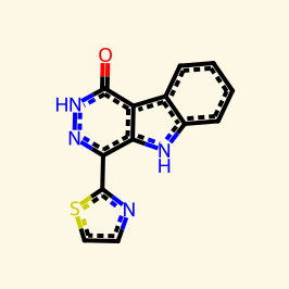 O=c1[nH]nc(-c2nccs2)c2[nH]c3ccccc3c12